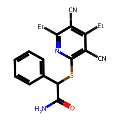 CCc1nc(SC(C(N)=O)c2ccccc2)c(C#N)c(CC)c1C#N